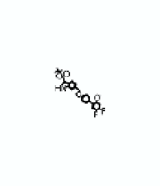 COc1cc(F)c(F)cc1-c1ccc(OCc2ccc3c(C(=O)OC(C)(C)C)c[nH]c3c2)cc1